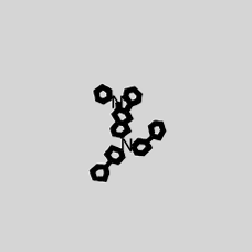 c1ccc(-c2ccc(N(c3cccc(-c4ccccc4)c3)c3ccc4cc5c(cc4c3)c3ccccc3n5-c3ccccc3)cc2)cc1